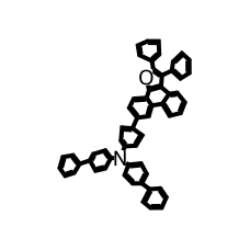 c1ccc(-c2ccc(N(c3ccc(-c4ccccc4)cc3)c3ccc(-c4ccc5c(c4)c4ccccc4c4c(-c6ccccc6)c(-c6ccccc6)oc54)cc3)cc2)cc1